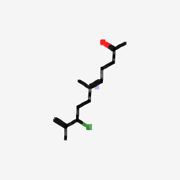 C=C(C)C(Cl)CC/C(C)=C/CCC(C)=O